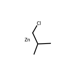 CC(C)CCl.[Zn]